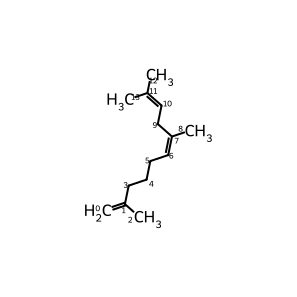 C=C(C)CCCC=C(C)CC=C(C)C